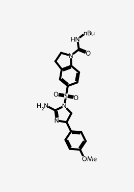 CCCCNC(=O)N1CCc2cc(S(=O)(=O)N3CC(c4ccc(OC)cc4)N=C3N)ccc21